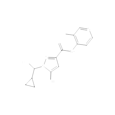 Cc1cc(C(=O)Nc2ccncc2F)nn1C(C)C1CC1